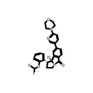 O=C1c2ccc(-c3ccc(N4CCOCC4)nc3)cc2[C@H]2[C@@H](c3ccccc3OC(F)F)CCN12